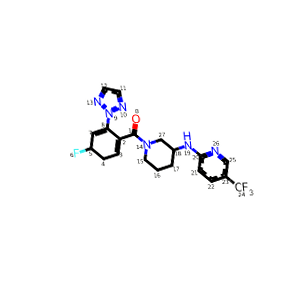 O=C(C1=CCC(F)C=C1n1nccn1)N1CCCC(Nc2ccc(C(F)(F)F)cn2)C1